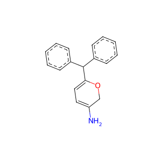 NC1=CC=C(C(c2ccccc2)c2ccccc2)OC1